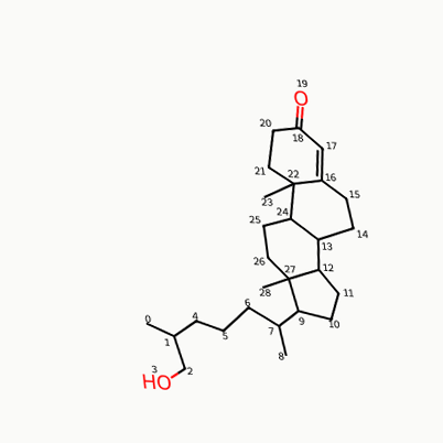 CC(CO)CCCC(C)C1CCC2C3CCC4=CC(=O)CCC4(C)C3CCC12C